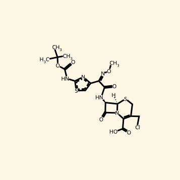 CO/N=C(\C(=O)N[C@@H]1C(=O)N2C(C(=O)O)=C(CCl)CS[C@H]12)c1csc(NC(=O)OC(C)(C)C)n1